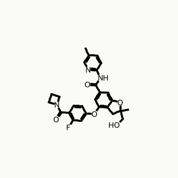 Cc1ccc(NC(=O)c2cc(Oc3ccc(C(=O)N4CCC4)c(F)c3)c3c(c2)OC(C)(CO)C3)nc1